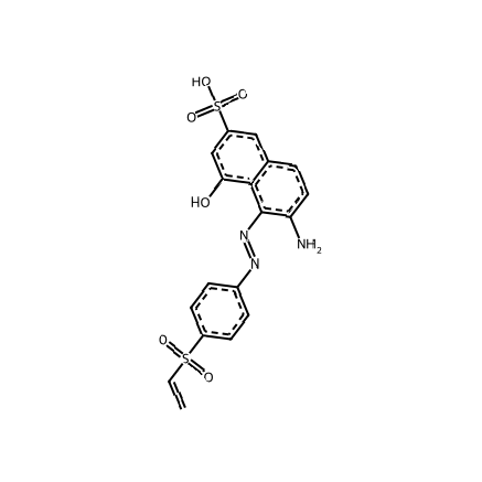 C=CS(=O)(=O)c1ccc(/N=N/c2c(N)ccc3cc(S(=O)(=O)O)cc(O)c23)cc1